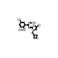 COc1ccc(Cl)cc1C(=NC#N)N=c1sc(Cl)cn1CC1CCC1